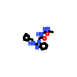 Cc1nnc(NC(=O)Cn2c(NCc3ccccc3)nc3ccccc32)o1